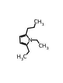 CCCc1ccc(CC)n1CC